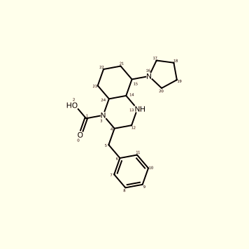 O=C(O)N1C(Cc2ccccc2)CNC2C(N3CCCC3)CCCC21